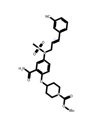 CC(C)(C)OC(=O)N1CCC(Oc2ccc(N(C/C=C/c3cccc(C#N)c3)S(C)(=O)=O)cc2C(N)=O)CC1